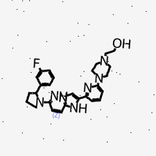 N=C(/C=C\c1ncc(-c2cccc(N3CCN(CCO)CC3)n2)[nH]1)N1CCCC1c1cccc(F)c1